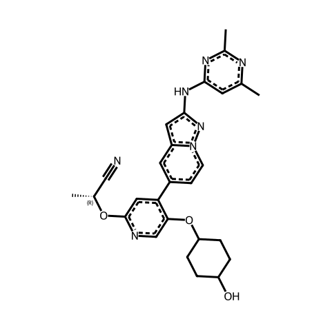 Cc1cc(Nc2cc3cc(-c4cc(O[C@H](C)C#N)ncc4OC4CCC(O)CC4)ccn3n2)nc(C)n1